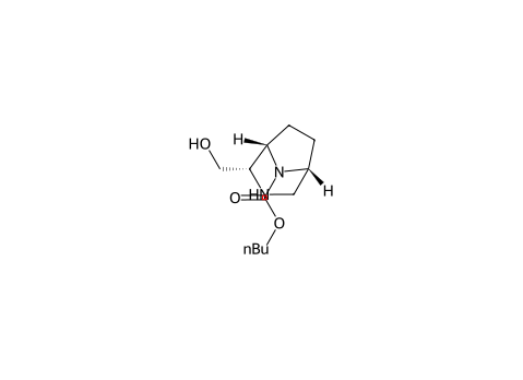 CCCCOC(=O)N1[C@@H]2CC[C@H]1[C@@H](CO)NC2